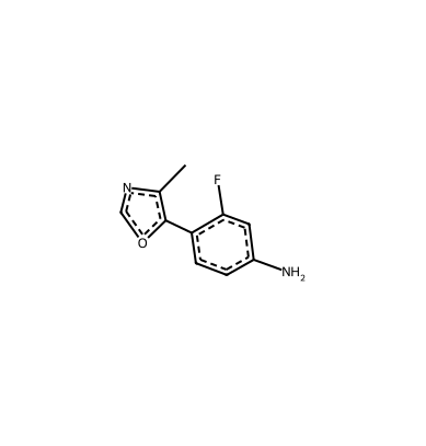 Cc1ncoc1-c1ccc(N)cc1F